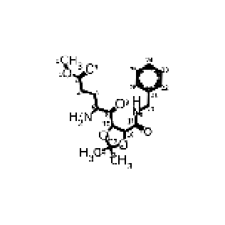 COC(=O)CCC(N)C(=O)C1OC(C)(C)OC1C(=O)NCc1ccccc1